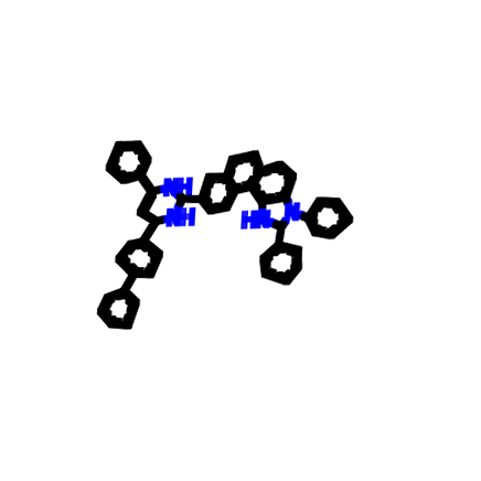 C1=C(c2ccccc2)NC(c2ccc3c(ccc4ccc5c(c43)NC(c3ccccc3)N5c3ccccc3)c2)NC1c1ccc(-c2ccccc2)cc1